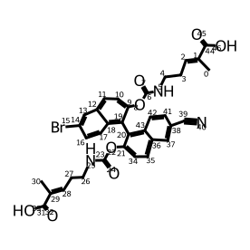 C/C(=C\CCNC(=O)Oc1ccc2cc(Br)ccc2c1-c1c(OC(=O)NCC/C=C(\C)C(=O)O)ccc2cc(C#N)ccc12)C(=O)O